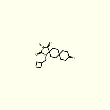 CN1C(=O)N(CC2COC2)C2(CCC3(CCC(=O)CC3)CC2)C1=O